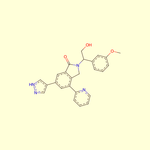 COc1cccc(C(CO)N2Cc3c(cc(-c4cn[nH]c4)cc3-c3ccccn3)C2=O)c1